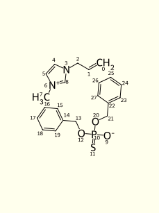 C=CCn1cc[n+](C)c1.[O-]P(=S)(OCc1ccccc1)OCc1ccccc1